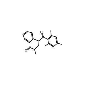 Cc1cc(C)c(C(=O)C(CC(C)P=O)c2ccccc2)c(C)c1